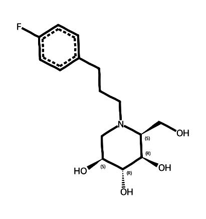 OC[C@H]1[C@@H](O)[C@H](O)[C@@H](O)CN1CCCc1ccc(F)cc1